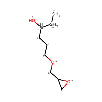 O[SiH](CCCOCC1CO1)[SiH2][SiH3]